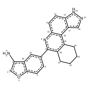 Nc1noc2ccc(-c3nc4ccc5[nH]ncc5c4c4c3CCCC4)cc12